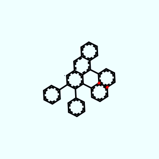 [c]1c(-c2ccccc2)c(-c2ccccc2)c(-c2ccccc2)c2c(-c3ccccc3)c3ccccc3cc12